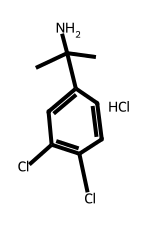 CC(C)(N)c1ccc(Cl)c(Cl)c1.Cl